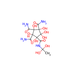 CC(O)(O)NC(=O)C1(O)C(O)(O)C(O)(C(N)=O)C(O)(C(N)=O)C1(O)C(N)=O